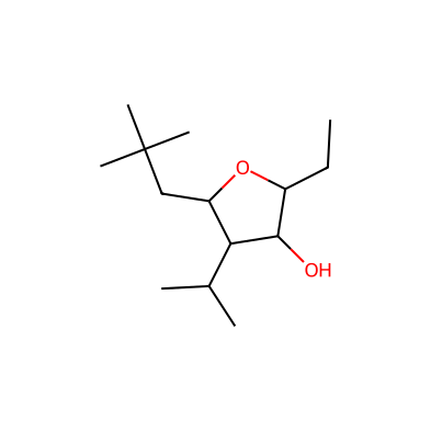 CCC1OC(CC(C)(C)C)C(C(C)C)C1O